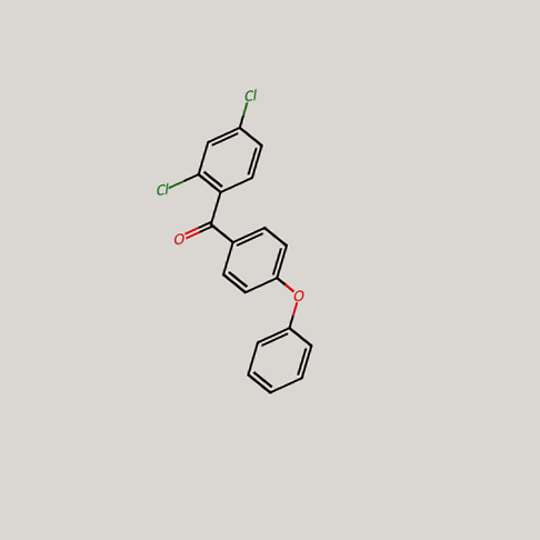 O=C(c1ccc(Oc2ccccc2)cc1)c1ccc(Cl)cc1Cl